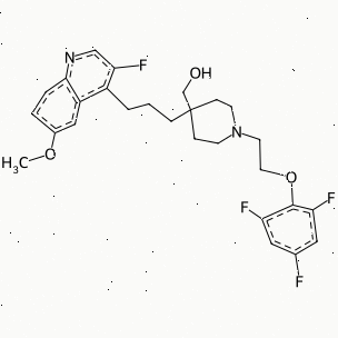 COc1ccc2ncc(F)c(CCCC3(CO)CCN(CCOc4c(F)cc(F)cc4F)CC3)c2c1